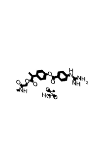 CNC(=O)COC(=O)C(C)c1ccc(OC(=O)c2ccc(NC(=N)N)cc2)cc1.CS(=O)(=O)O